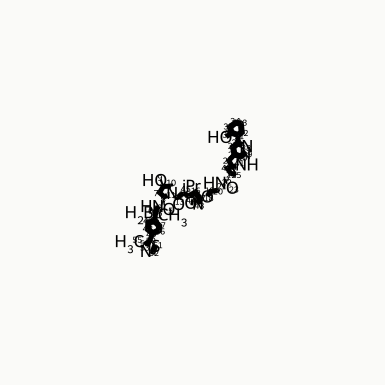 BC(C)(NC(=O)[C@@H]1C[C@@H](O)CN1C(=O)C(c1cc(OCCNC(=O)[C@H]2C[C@]3(Cc4cc(-c5ccccc5O)nnc4N3)C2)no1)C(C)C)c1ccc(-c2scnc2C)cc1